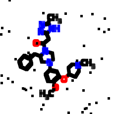 COc1ccc(N2CCN(C(=O)Cc3nnc(C)[nH]3)C(Cc3ccccc3)C2)cc1OC1CCN(C)CC1